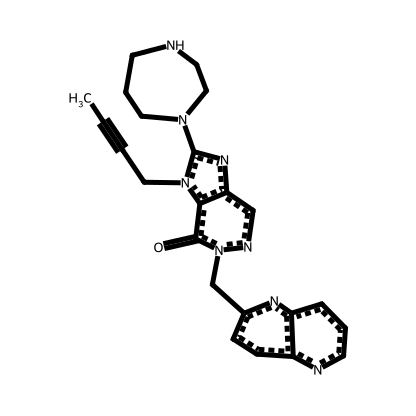 CC#CCn1c(N2CCCNCC2)nc2cnn(Cc3ccc4ncccc4n3)c(=O)c21